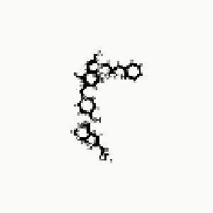 CCC(O)(CC1CCCCC1)Cn1c(C#N)cc2c(C)c(CN3CCC(Nc4ncnc5sc(CC(F)(F)F)cc45)CC3)ccc21